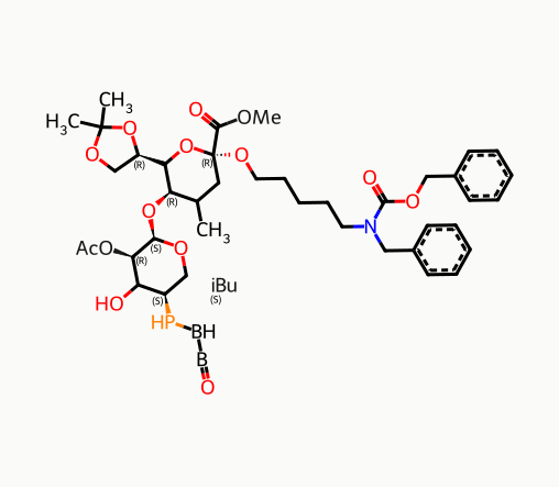 CC[C@H](C)C1O[C@H](O[C@@H]2C(C)C[C@](OCCCCCN(Cc3ccccc3)C(=O)OCc3ccccc3)(C(=O)OC)OC2[C@H]2COC(C)(C)O2)[C@H](OC(C)=O)C(O)[C@@H]1PBB=O